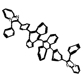 c1ccc(-c2c(-c3ccc(-c4c5ccccc5c(-c5c6ccccc6c(-c6ccc(-c7nc8ccccn8c7-c7ccccc7)cc6)c6ccccc56)c5ccccc45)cc3)nc3ccccn23)cc1